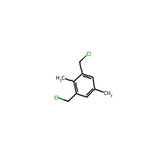 Cc1cc(CCl)c(C)c(CCl)c1